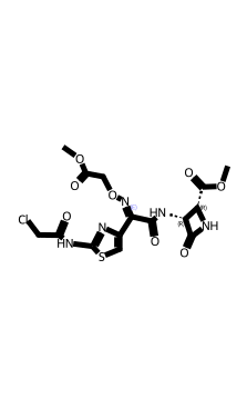 COC(=O)CO/N=C(/C(=O)N[C@H]1C(=O)N[C@H]1C(=O)OC)c1csc(NC(=O)CCl)n1